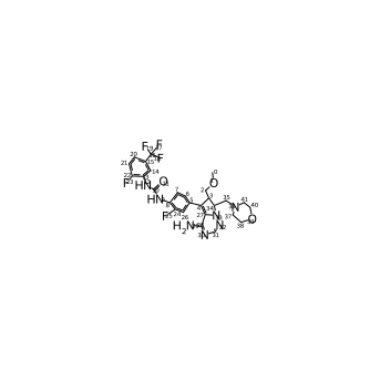 COCC1C(c2ccc(NC(=O)Nc3cc(C(F)(F)F)ccc3F)c(F)c2)=C2C(N)=NC=NN2C1CN1CCOCC1